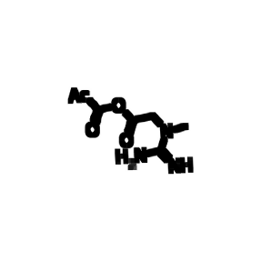 CC(=O)C(=O)OC(=O)CN(C)C(=N)N